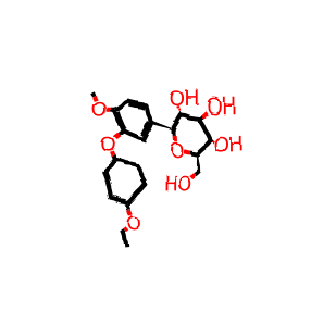 CCOC1CCC(Oc2cc([C@@H]3O[C@H](CO)[C@@H](O)[C@H](O)[C@H]3O)ccc2OC)CC1